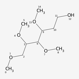 COCC(OC)C(OC)C(CCO)OC